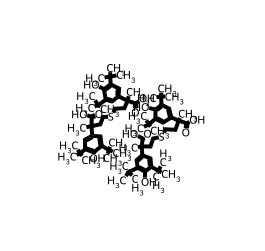 CC(C)(C)c1cc(C(C)(CCSCCC(C)(C(=O)O)c2cc(C(C)(C)C)c(O)c(C(C)(C)C)c2)C(=O)O)cc(C(C)(C)C)c1O.CC(C)(C)c1cc(C(C)(CCSCCC(C)(C(=O)O)c2cc(C(C)(C)C)c(O)c(C(C)(C)C)c2)C(=O)O)cc(C(C)(C)C)c1O